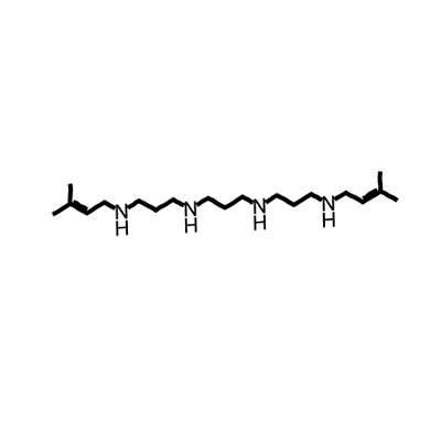 CC(C)=CCNCCCNCCCNCCCNCC=C(C)C